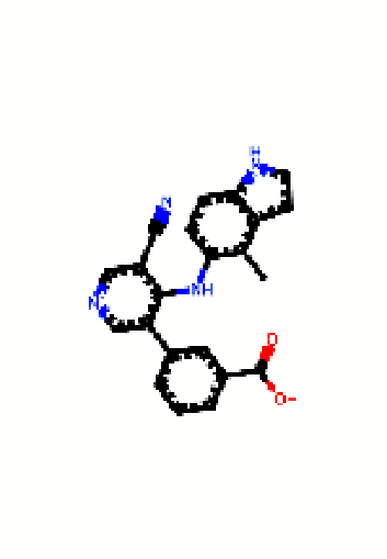 Cc1c(Nc2c(C#N)cncc2-c2cccc(C(=O)O)c2)ccc2[nH]ccc12